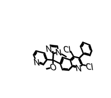 COC(c1cccnc1)(c1ccc2nc(Cl)c(-c3ccccc3)c(Cl)c2c1)c1nccn1C